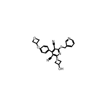 N#Cc1c(SCc2cccnc2)nc(N2CC(O)C2)c(C#N)c1-c1ccc(OC2COC2)cc1